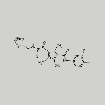 Cc1c(C(=O)C(=O)NCc2nn[nH]n2)c(C)n(C)c1C(=O)Nc1ccc(F)c(F)c1